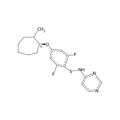 CC1CCCCC[C@@H]1Oc1cc(F)c(SNc2ccncn2)c(F)c1